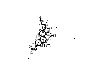 CC[C@H]1[C@@H](OC(C)=O)[C@@H]2[C@H](CC[C@]3(C)[C@@H]([C@H](C)CC#N)CC[C@@H]23)[C@@]2(C)CC[C@@H](OC(C)=O)C[C@@H]12